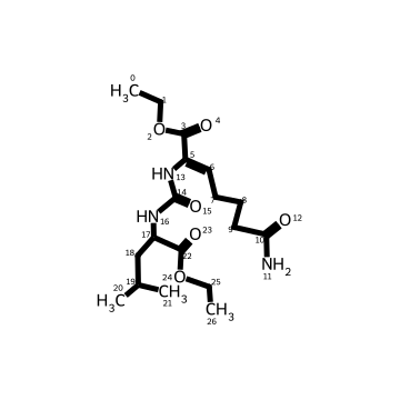 CCOC(=O)C(=CCCCC(N)=O)NC(=O)NC(CC(C)C)C(=O)OCC